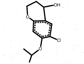 CC(C)Oc1cc2c(cc1Cl)C(O)CCO2